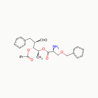 CC(C)C(=O)O[C@H]([C@H](C=O)Cc1ccccc1)[C@H](C)OC(=O)[C@@H](N)COCc1ccccc1